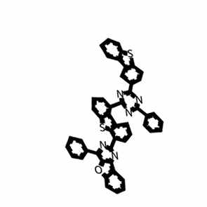 c1ccc(-c2nc(-c3ccc4sc5ccccc5c4c3)nc(-c3cccc4sc5c(-c6nc(-c7ccccc7)c7oc8ccccc8c7n6)cccc5c34)n2)cc1